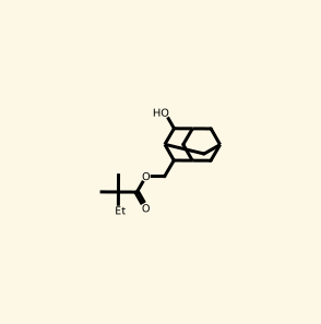 CCC(C)(C)C(=O)OCC1C2CC3CC(C2)C(O)C1C3